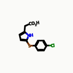 O=C(O)Cc1ccc(Sc2ccc(Cl)cc2)[nH]1